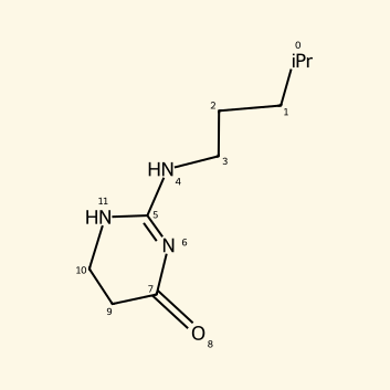 CC(C)CCCNC1=NC(=O)CCN1